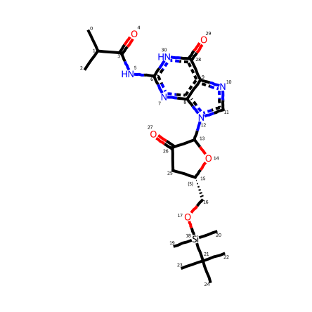 CC(C)C(=O)Nc1nc2c(ncn2C2O[C@H](CO[Si](C)(C)C(C)(C)C)CC2=O)c(=O)[nH]1